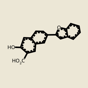 O=C(O)c1cc2cc(-c3cc4ccccc4o3)ccc2cc1O